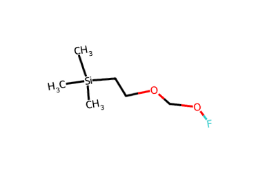 C[Si](C)(C)CCOCOF